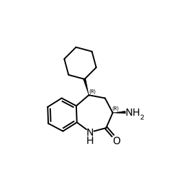 N[C@@H]1C[C@H](C2CCCCC2)c2ccccc2NC1=O